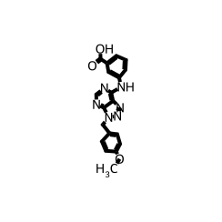 COc1ccc(Cn2nnc3c(Nc4cccc(C(=O)O)c4)ncnc32)cc1